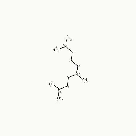 CN(C)CCCN(C)CCN(C)C